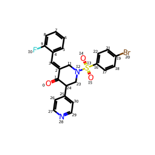 O=C1C(=Cc2ccccc2F)CN(S(=O)(=O)c2ccc(Br)cc2)CC1c1ccncc1